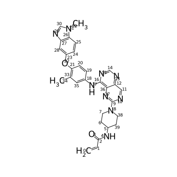 C=CC(=O)NC1CCN(c2ncc3ncnc(Nc4ccc(Oc5ccc6c(c5)ncn6C)c(C)c4)c3n2)CC1